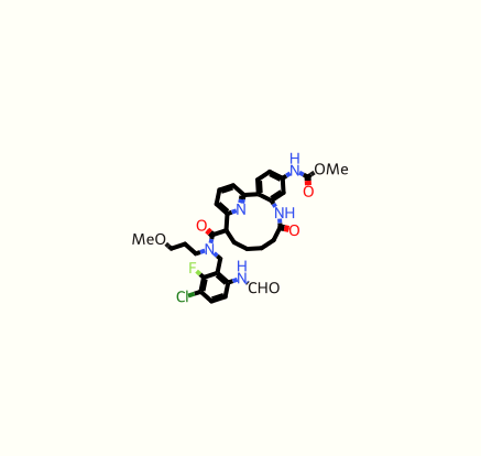 COCCCN(Cc1c(NC=O)ccc(Cl)c1F)C(=O)C1CCCCC(=O)Nc2cc(NC(=O)OC)ccc2-c2cccc1n2